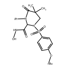 CCCCOc1ccc(S(=O)(=O)N2CC(C)(C)C(=O)N(C(C)C)C2C(=O)NO)cc1